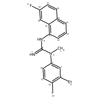 CCc1cc(N(C)C(=N)Nc2cccc3ccc(F)cc23)ccc1F